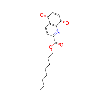 CCCCCCCCOC(=O)c1ccc2c(n1)C(=O)C=CC2=O